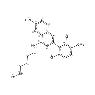 COc1ccc(Cl)c(-c2cc3cnc(N)nc3c(NCCCCNC(C)C)n2)c1Cl